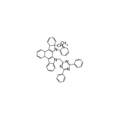 CC1CC=CC=C1N1C2=C(C3C=CC=CC3c3c2n(Cc2nc(-c4ccccc4)nc(-c4ccccc4)n2)c2ccccc32)C2C=CC=CC21C